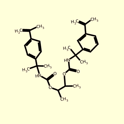 C=C(C)c1ccc(C(C)(C)NC(=O)OC(C)C(C)OC(=O)NC(C)(C)c2cccc(C(=C)C)c2)cc1